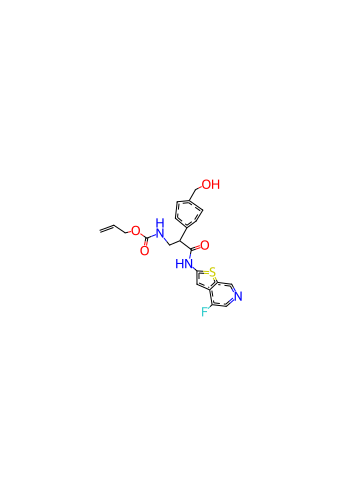 C=CCOC(=O)NCC(C(=O)Nc1cc2c(F)cncc2s1)c1ccc(CO)cc1